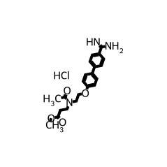 COC(=O)CCN(CCOc1ccc(-c2ccc(C(=N)N)cc2)cc1)C(C)=O.Cl